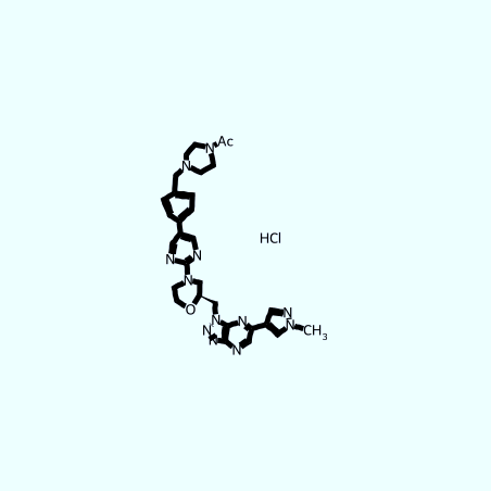 CC(=O)N1CCN(Cc2ccc(-c3cnc(N4CCO[C@H](Cn5nnc6ncc(-c7cnn(C)c7)nc65)C4)nc3)cc2)CC1.Cl